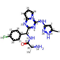 Cc1cc(Nc2nc(C(NC(=O)[C@@H](C)N)c3ccc(F)cc3)nc3cccn23)n[nH]1